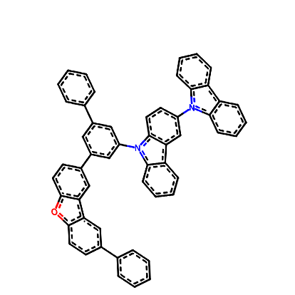 c1ccc(-c2cc(-c3ccc4oc5ccc(-c6ccccc6)cc5c4c3)cc(-n3c4ccccc4c4cc(-n5c6ccccc6c6ccccc65)ccc43)c2)cc1